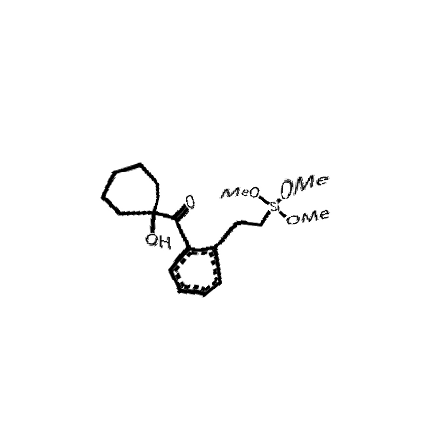 CO[Si](CCc1ccccc1C(=O)C1(O)CCCCC1)(OC)OC